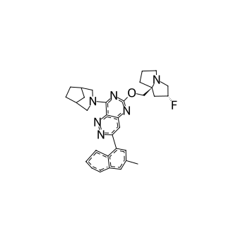 Cc1cc(-c2cc3nc(OC[C@@]45CCCN4C[C@H](F)C5)nc(N4CC5CCC(C5)C4)c3nn2)c2ccccc2c1